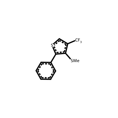 CSc1c(C(F)(F)F)csc1-c1ccccc1